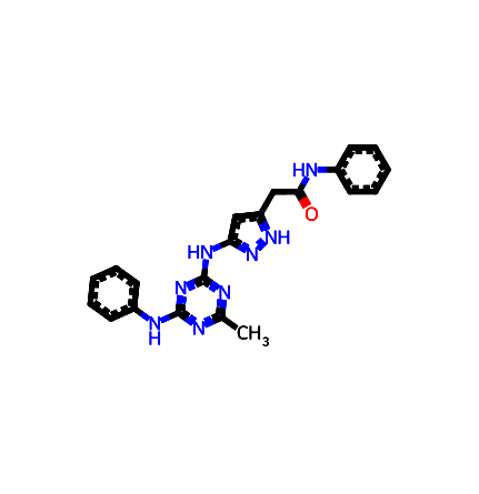 Cc1nc(Nc2ccccc2)nc(Nc2cc(CC(=O)Nc3ccccc3)[nH]n2)n1